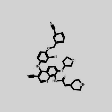 N#Cc1cccc(COc2ccc(Nc3c(C#N)cnc4c(NC(=O)C=C5CCNCC5)c(OC5CCOC5)ccc34)cc2Cl)c1